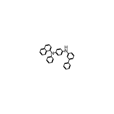 c1ccc(-c2cccc(Nc3ccc(N(c4ccccc4)c4cccc5ccccc45)cc3)c2)cc1